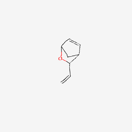 C=CC1OC2C=CC1C2